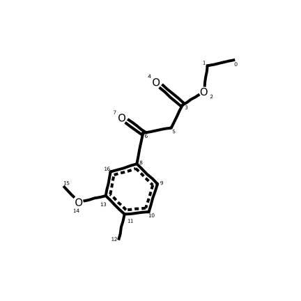 CCOC(=O)CC(=O)c1ccc(C)c(OC)c1